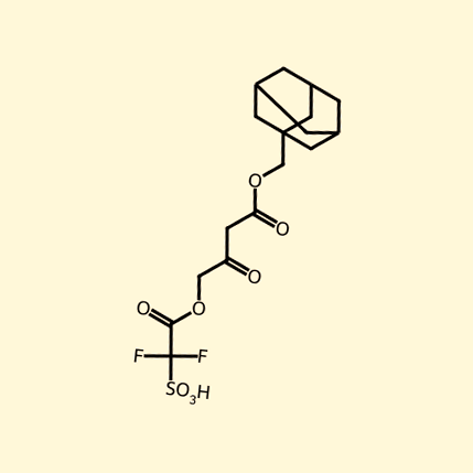 O=C(COC(=O)C(F)(F)S(=O)(=O)O)CC(=O)OCC12CC3CC(CC(C3)C1)C2